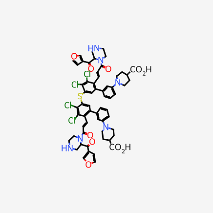 O=C(O)C1CCN(c2cccc(-c3cc(Sc4cc(-c5cccc(N6CCC(C(=O)O)CC6)c5)c(/C=C/C(=O)N5CCNCC5C(=O)c5ccoc5)c(Cl)c4Cl)c(Cl)c(Cl)c3/C=C/C(=O)N3CCNCC3C(=O)c3ccoc3)c2)CC1